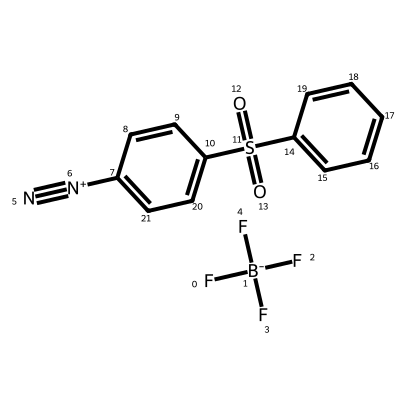 F[B-](F)(F)F.N#[N+]c1ccc(S(=O)(=O)c2ccccc2)cc1